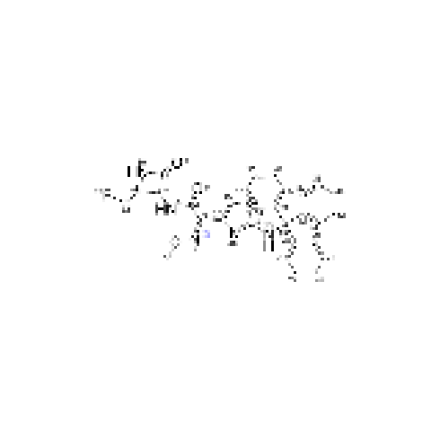 CO/N=C(\C(=O)NC1C(=O)NC1CF)c1csc(NC(c2ccccc2)(c2ccccc2)c2ccccc2)n1